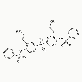 CC=Cc1cc(C(c2ccc(OS(=O)(=O)c3ccccc3)c(C=CC)c2)(C(F)(F)F)C(F)(F)F)ccc1OS(=O)(=O)c1ccccc1